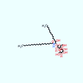 CCCCCCCCCCCCCCCCCCCCCCCC(=O)N[C@@H](CO[C@@H]1OC(CO)[C@@H](O[C@@H]2OC(CO)[C@H](O)[C@H](O)C2O)[C@H](O)C1O)[C@H](O)CCCCCCCCCCCCCCC